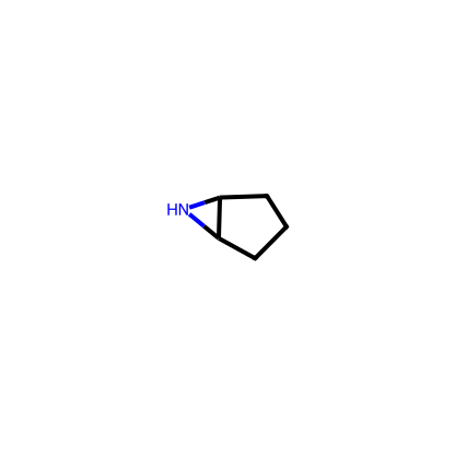 C1CC2NC2C1